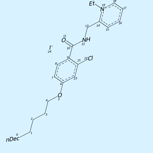 CCCCCCCCCCCCCCOc1ccc(C(=O)NCc2cccc[n+]2CC)c(Cl)c1.[I-]